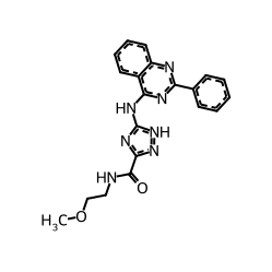 COCCNC(=O)c1n[nH]c(Nc2nc(-c3ccccc3)nc3ccccc23)n1